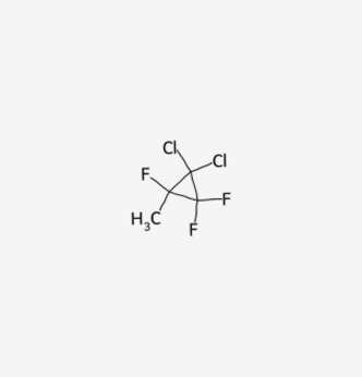 CC1(F)C(F)(F)C1(Cl)Cl